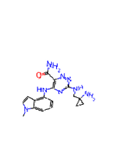 Cn1ccc2c(Nc3nc(NCC4(N)CC4)nnc3C(N)=O)cccc21